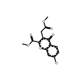 COC(=O)Cc1c(C(=O)OC)oc2cc(Cl)ccc2c1=O